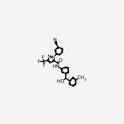 Cc1cccc(C(O)c2cccc(NC(=O)c3cc(C(F)(F)F)nn3-c3cccc(C#N)c3)c2)c1